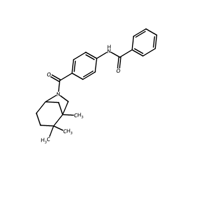 CC1(C)CCC2CC1(C)CN2C(=O)c1ccc(NC(=O)c2ccccc2)cc1